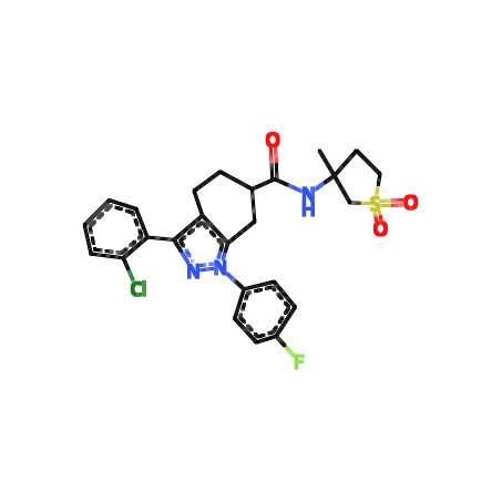 CC1(NC(=O)C2CCc3c(-c4ccccc4Cl)nn(-c4ccc(F)cc4)c3C2)CCS(=O)(=O)C1